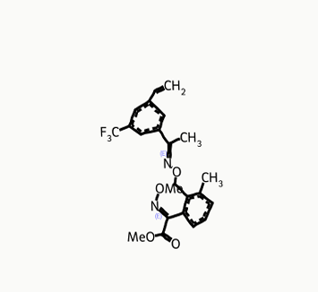 C=Cc1cc(/C(C)=N/OCc2c(C)cccc2/C(=N\OC)C(=O)OC)cc(C(F)(F)F)c1